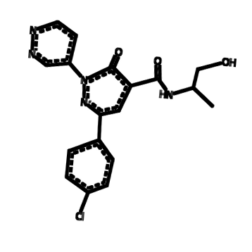 CC(CO)NC(=O)c1cc(-c2ccc(Cl)cc2)nn(-c2ccnnc2)c1=O